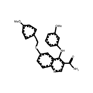 COc1ccc(CSc2ccc3ncc(C(N)=O)c(Nc4cccc(OC)c4)c3c2)cc1